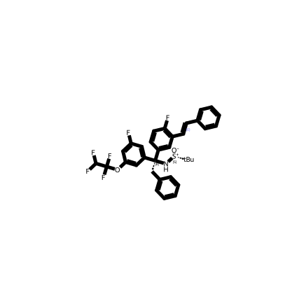 CC(C)(C)[S@@+]([O-])N[C@@](Cc1ccccc1)(c1cc(F)cc(OC(F)(F)C(F)F)c1)c1ccc(F)c(/C=C/c2ccccc2)c1